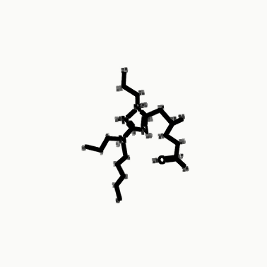 CCCCCN(CCC)c1nc(CC(C)CCC(C)=O)n(CCC)n1